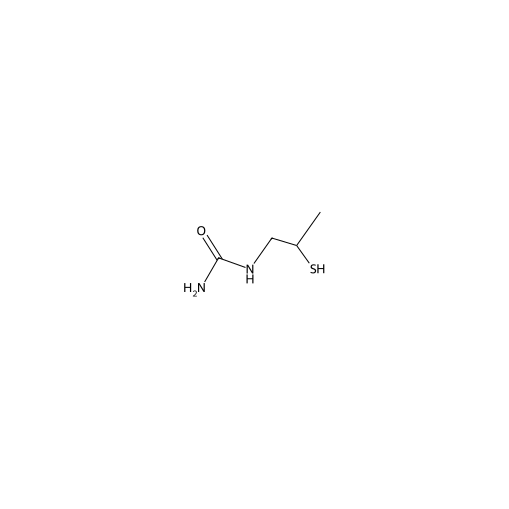 CC(S)CNC(N)=O